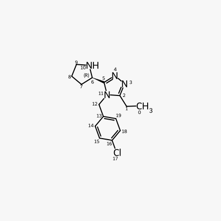 CCc1nnc([C@H]2CCCN2)n1Cc1ccc(Cl)cc1